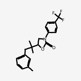 Cc1cccc(CC(C)(C)C2CN(c3ccc(C(F)(F)F)cc3)C(=O)O2)c1